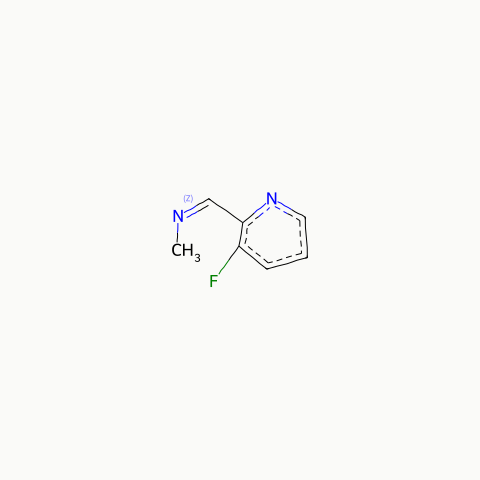 C/N=C\c1ncccc1F